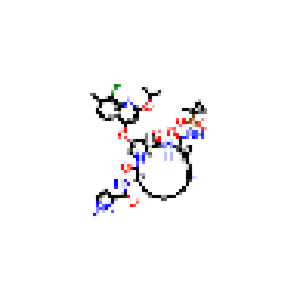 Cc1ccc2c(O[C@@H]3C[C@H]4C(=O)N[C@]5(C(=O)NS(=O)(=O)C6(C)CC6)C[C@H]5/C=C\CCCCC[C@H](NC(=O)c5ccn(C)n5)C(=O)N4C3)cc(OC(C)C)nc2c1Br